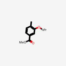 CCCOc1cc(C(=O)OC)ccc1C